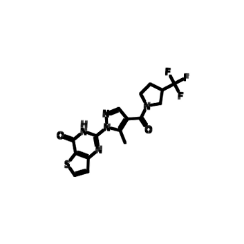 Cc1c(C(=O)N2CCC(C(F)(F)F)C2)cnn1-c1nc2ccsc2c(=O)[nH]1